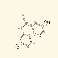 Oc1ccc(-c2ccc(O)cc2C(F)F)cc1